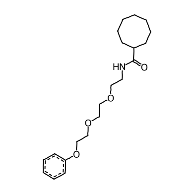 O=C(NCCOCCOCCOc1ccccc1)C1CCCCCCC1